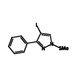 CSn1cc(I)c(-c2ccccc2)n1